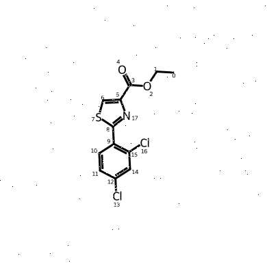 CCOC(=O)c1csc(-c2ccc(Cl)cc2Cl)n1